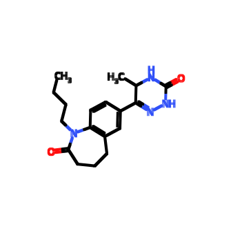 CCCCN1C(=O)CCCc2cc(C3=NNC(=O)NC3C)ccc21